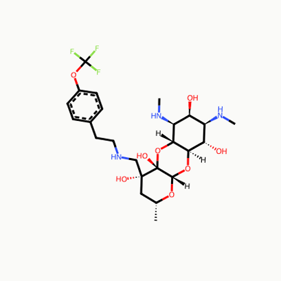 CN[C@@H]1[C@H](O)[C@H](NC)[C@H]2O[C@]3(O)[C@H](O[C@@H]2[C@H]1O)O[C@H](C)C[C@@]3(O)CNCCc1ccc(OC(F)(F)F)cc1